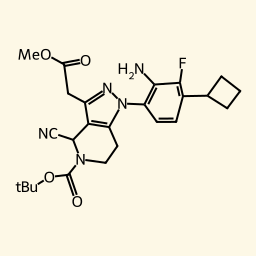 COC(=O)Cc1nn(-c2ccc(C3CCC3)c(F)c2N)c2c1C(C#N)N(C(=O)OC(C)(C)C)CC2